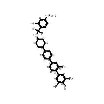 CCCCCc1ccc(C(F)(F)OC2CCC(c3ccc(-c4ccc(-c5cc(F)c(F)c(F)c5)c(F)c4)cc3)CC2)c(F)c1